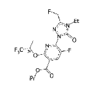 CCn1c(CF)nn(-c2nc(O[C@@H](C)C(F)(F)F)c(C(=O)OC(C)C)cc2F)c1=O